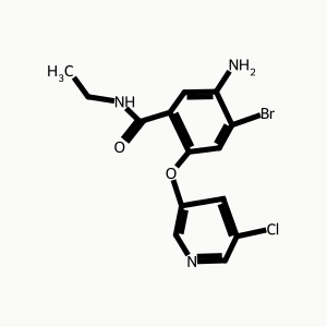 CCNC(=O)c1cc(N)c(Br)cc1Oc1cncc(Cl)c1